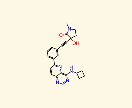 CN1CCC(O)(C#Cc2cccc(-c3ccc4ncnc(NC5CCC5)c4n3)c2)C1=O